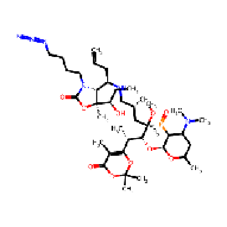 C=CC[C@@H](NC[C@H](C)C[C@@](C)(OC)[C@H](O[C@@H]1OC(C)CC(N(C)C)C1P=O)[C@@H](C)C1=C(C)C(=O)OC(C)(C)O1)[C@H]1N(CCCCN=[N+]=[N-])C(=O)O[C@]1(C)[C@H](O)CC